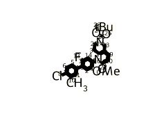 COc1cc(-c2ccc(Cl)c(C)c2)c(F)cc1-n1c2c(ccc1=O)CN(C(=O)OC(C)(C)C)CC2